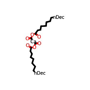 CCCCCCCCCCCCCCCCCC(=O)O[C](=O)[Ca][C](=O)OC(=O)CCCCCCCCCCCCCCCCC